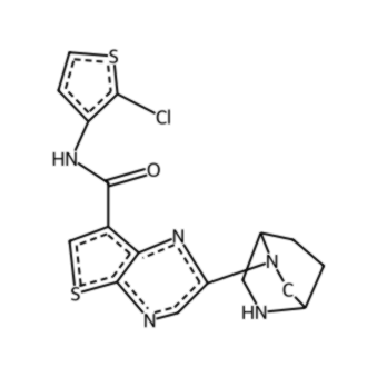 O=C(Nc1ccsc1Cl)c1csc2ncc(N3CC4CCC3CN4)nc12